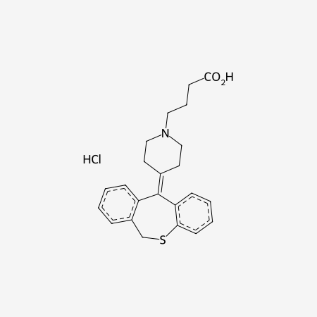 Cl.O=C(O)CCCN1CCC(=C2c3ccccc3CSc3ccccc32)CC1